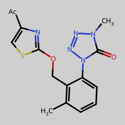 CC(=O)c1csc(OCc2c(C)cccc2-n2nnn(C)c2=O)n1